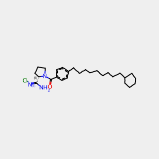 N/C(=N/Cl)[C@@H]1CCCN1C(=O)c1ccc(CCCCCCCCCC2CCCCC2)cc1